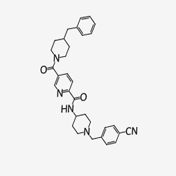 N#Cc1ccc(CN2CCC(NC(=O)c3ccc(C(=O)N4CCC(Cc5ccccc5)CC4)cn3)CC2)cc1